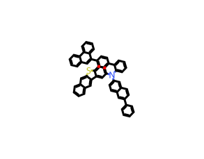 c1ccc(-c2ccc3cc(N(c4ccc5sc6cc7ccccc7cc6c5c4)c4ccccc4-c4ccc(-c5cc6ccccc6c6ccccc56)cc4)ccc3c2)cc1